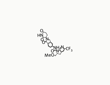 COC[C@@H]1Cc2cc(C(F)(F)F)ncc2N1C(=O)Nc1ccc2c(c1)CN(C1CCC(=O)NC1=O)C2=O